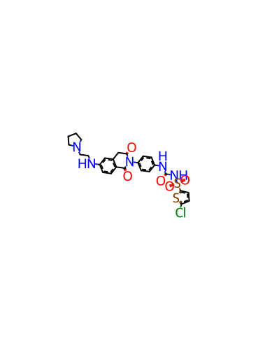 O=C(Nc1ccc(N2C(=O)Cc3cc(NCCN4CCCC4)ccc3C2=O)cc1)NS(=O)(=O)c1ccc(Cl)s1